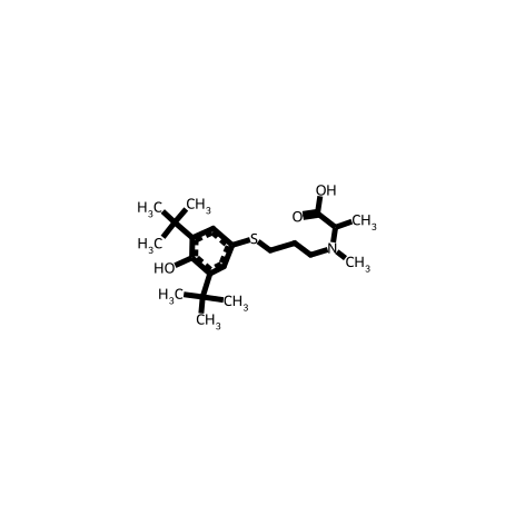 CC(C(=O)O)N(C)CCCSc1cc(C(C)(C)C)c(O)c(C(C)(C)C)c1